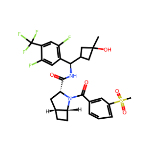 CC1(O)CC([C@@H](NC(=O)[C@H]2C[C@H]3CC[C@H]3N2C(=O)c2cccc(S(C)(=O)=O)c2)c2cc(F)c(C(F)(F)F)cc2F)C1